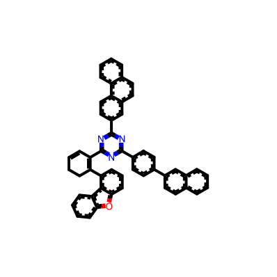 C1=CC(c2nc(-c3ccc(-c4ccc5ccccc5c4)cc3)nc(-c3ccc4c(ccc5ccccc54)c3)n2)=C(c2cccc3oc4ccccc4c23)CC1